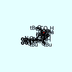 C[C@@H](OC(C)(C)C)[C@H](NC(=O)CNC(=O)[C@H](CCC(=O)OC(C)(C)C)NC(=O)C(C)(C)NC(=O)[C@H](Cc1cn(C(c2ccccc2)(c2ccccc2)c2ccccc2)cn1)NC(=O)OC(C)(C)C)C(=O)N[C@@H](Cc1ccccc1)C(=O)N[C@H](C(=O)N[C@@H](COC(C)(C)C)C(=O)N[C@@H](CC(=O)OC(C)(C)C)C(=O)O)[C@@H](C)OC(C)(C)C